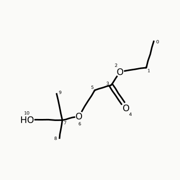 CCOC(=O)COC(C)(C)O